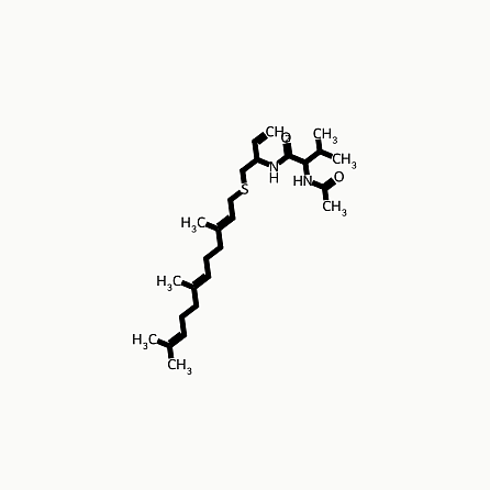 C=CC(CSC/C=C(\C)CC/C=C(\C)CCC=C(C)C)NC(=O)C(NC(C)=O)C(C)C